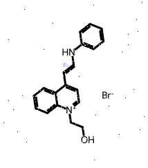 OCC[n+]1ccc(/C=C/Nc2ccccc2)c2ccccc21.[Br-]